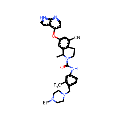 CCN1CCN(Cc2ccc(NC(=O)N3CCc4c(C#N)cc(Oc5ccnc6[nH]ccc56)cc4C3C)cc2C(F)(F)F)CC1